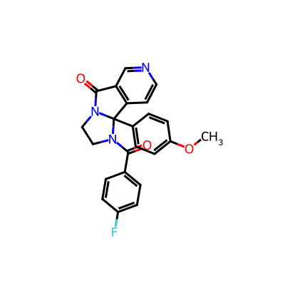 COc1ccc(C23c4ccncc4C(=O)N2CCN3C(=O)c2ccc(F)cc2)cc1